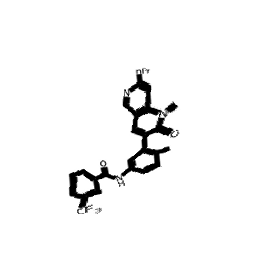 CCCc1cc2c(cn1)cc(-c1cc(NC(=O)c3cccc(C(F)(F)F)c3)ccc1C)c(=O)n2C